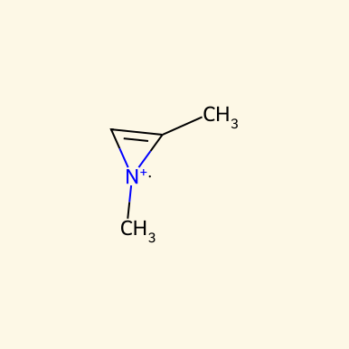 CC1=C[N+]1C